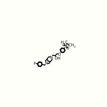 CN(C)S(=O)(=O)c1ccc(OCC(O)CN2CC3CC(CN(Cc4ccc(F)cc4)C3)C2)cc1